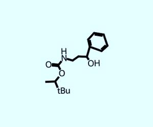 CC(OC(=O)NCCC(O)c1ccccc1)C(C)(C)C